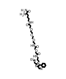 CCOCc1nc2cnc3ccccc3c2n1CCCNC(=O)COCC(=O)NCCOCCOCCOCCC(=O)NCCCCC(N)C(N)=O